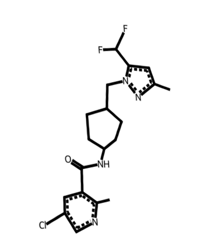 Cc1cc(C(F)F)n(CC2CCC(NC(=O)c3cc(Cl)cnc3C)CC2)n1